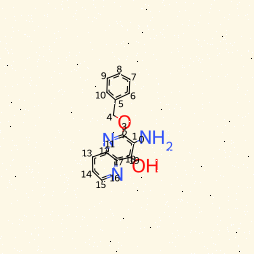 Nc1c(OCc2ccccc2)nc2cccnc2c1O